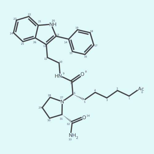 CC(=O)CCCCC[C@@H](C(=O)NCCc1c(-c2ccccc2)[nH]c2ccccc12)N1CCC[C@H]1C(N)=O